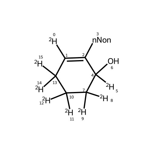 [2H]C1=C(CCCCCCCCC)C([2H])(O)C([2H])([2H])C([2H])([2H])C1([2H])[2H]